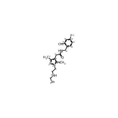 Cc1nn(CCNCC(C)C)c(C)c1CC(=O)NCc1ccc(F)cc1Cl